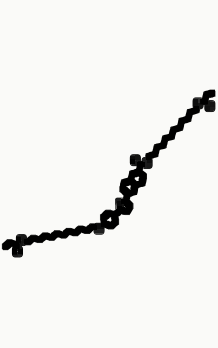 C=CC(=O)OCCCCCCCCCCCCOC(=O)c1ccc2cc(-c3ccc(-c4ccc(OCCCCCCCCCCCCOC(=O)C=C)cc4)s3)ccc2c1